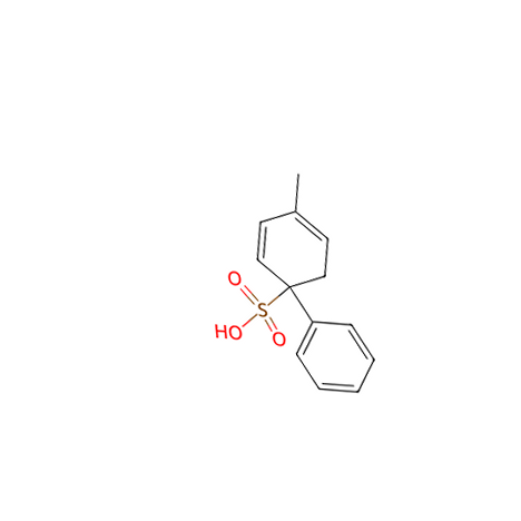 CC1=CCC(c2ccccc2)(S(=O)(=O)O)C=C1